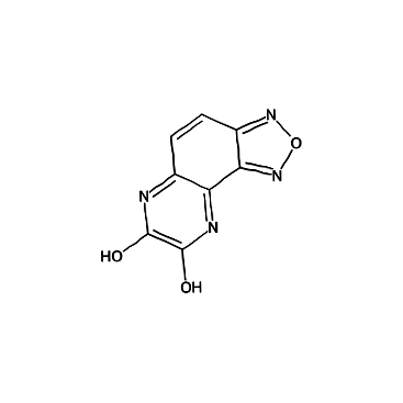 Oc1nc2ccc3nonc3c2nc1O